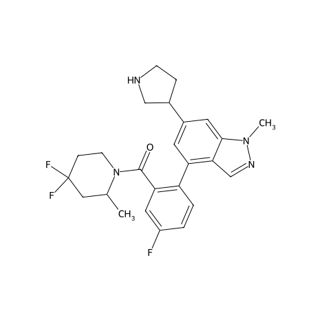 CC1CC(F)(F)CCN1C(=O)c1cc(F)ccc1-c1cc(C2CCNC2)cc2c1cnn2C